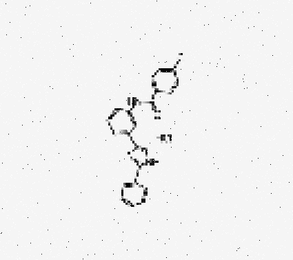 Cl.O=C(Nc1cccc(-c2c[nH]c(-c3ccccc3)n2)c1)c1ccc(Cl)cc1